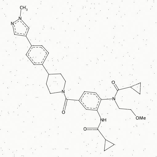 COCCN(C(=O)C1CC1)c1ccc(C(=O)N2CCC(c3ccc(-c4cnn(C)c4)cc3)CC2)cc1NC(=O)C1CC1